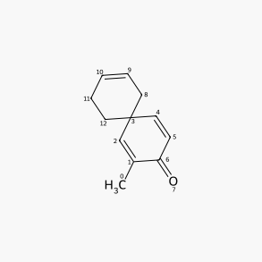 CC1=CC2(C=CC1=O)CC=CCC2